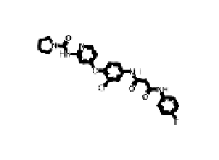 O=C(CC(=O)Nc1ccc(Oc2ccnc(NC(=O)N3CCCC3)c2)c(Cl)c1)Nc1ccc(F)cc1